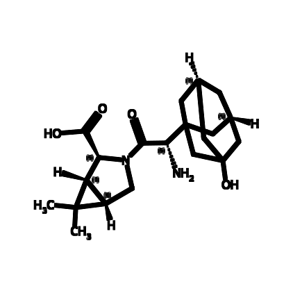 CC1(C)[C@@H]2[C@@H](C(=O)O)N(C(=O)[C@@H](N)C34C[C@@H]5C[C@@H](CC(O)(C5)C3)C4)C[C@@H]21